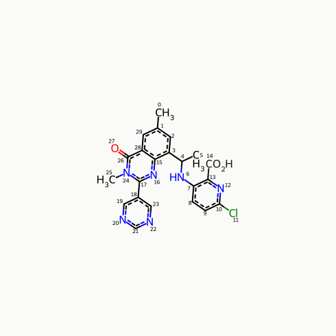 Cc1cc(C(C)Nc2ccc(Cl)nc2C(=O)O)c2nc(-c3cncnc3)n(C)c(=O)c2c1